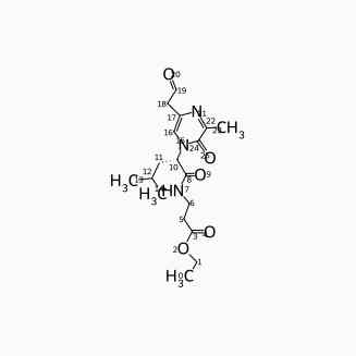 CCOC(=O)CCNC(=O)[C@H](CC(C)C)n1cc(CC=O)nc(C)c1=O